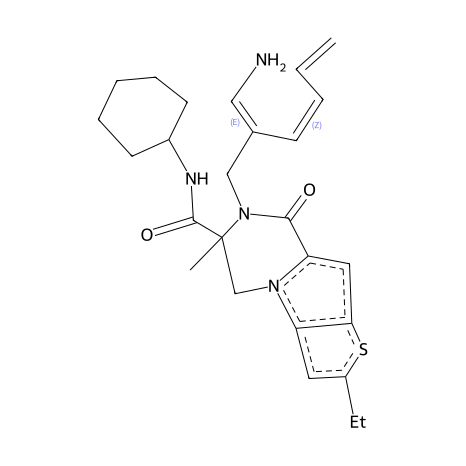 C=C/C=C\C(=C/N)CN1C(=O)c2cc3sc(CC)cc3n2CC1(C)C(=O)NC1CCCCC1